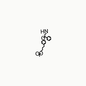 CNCCC(Oc1ccc(CCCCOC(C)=O)cc1)c1ccccc1